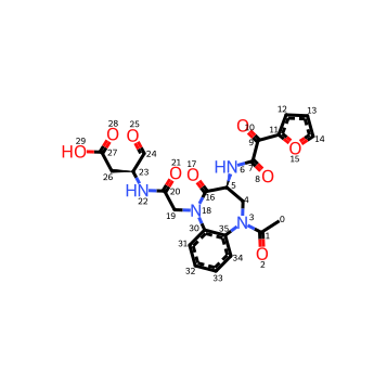 CC(=O)N1C[C@H](NC(=O)C(=O)c2ccco2)C(=O)N(CC(=O)N[C@H](C=O)CC(=O)O)c2ccccc21